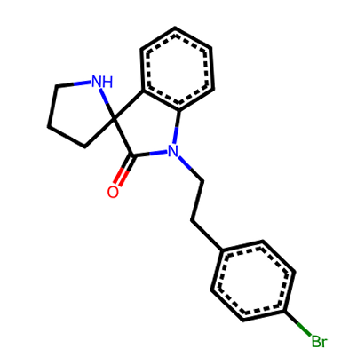 O=C1N(CCc2ccc(Br)cc2)c2ccccc2C12CCCN2